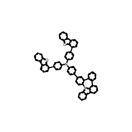 c1ccc2c(c1)-c1cc(-c3ccc(N(c4ccc(-c5cccc6c5oc5ccccc56)cc4)c4ccc(-c5cccc6c5oc5ccccc56)cc4)cc3)ccc1-n1c3ccccc3c3cccc-2c31